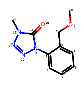 COCc1ccccc1-n1nnn(C)c1=O